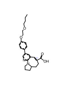 CCCCOCCOc1ccc(-c2cnc3c(c2)/C=C(/C(=O)O)CCC2CCCN32)cc1